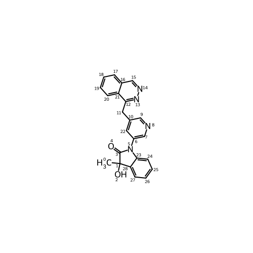 CC1(O)C(=O)N(c2cncc(Cc3nncc4ccccc34)c2)c2ccccc21